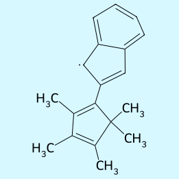 CC1=C(C)C(C)(C)C(C2=Cc3ccccc3[CH]2)=C1C